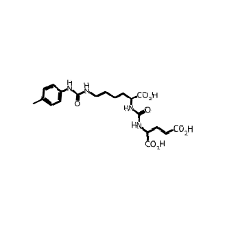 Cc1ccc(NC(=O)NCCCCC(NC(=O)NC(CCC(=O)O)C(=O)O)C(=O)O)cc1